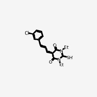 CCN1C(=O)C(=C/C=C/c2cccc(Cl)c2)C(=O)N(CC)C1S